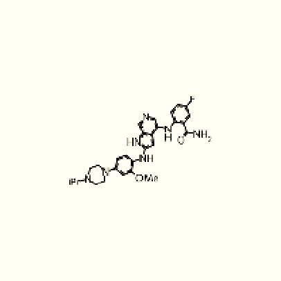 COc1cc(N2CCN(C(C)C)CC2)ccc1Nc1cc2c(Nc3ccc(F)cc3C(N)=O)cncc2[nH]1